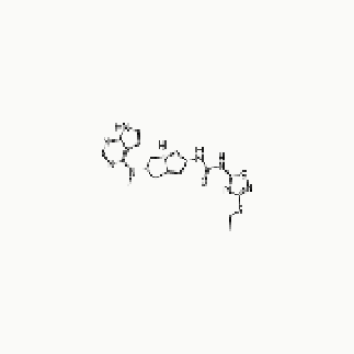 CCSc1nsc(NC(=O)N[C@H]2CC3C[C@H](N(C)c4ncnc5[nH]ccc45)C[C@H]3C2)n1